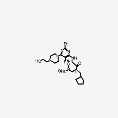 CCc1nc(NNC(=O)[C@@H](CC2CCCC2)CN(O)C=O)c(F)c(N2CCN(CCO)CC2)n1